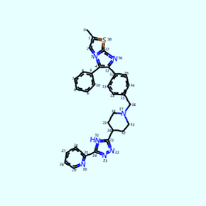 Cc1cn2c(-c3ccccc3)c(-c3ccc(CN4CCC(c5nnc(-c6ccccn6)[nH]5)CC4)cc3)nc2s1